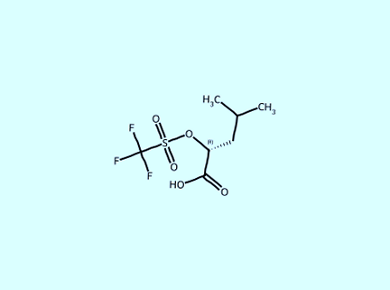 CC(C)C[C@@H](OS(=O)(=O)C(F)(F)F)C(=O)O